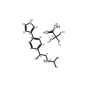 CC(C)NCC(C)c1ccc(-c2ccsc2)cc1.O=C(O)C(F)(F)F